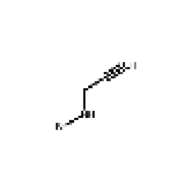 C#CCNBr